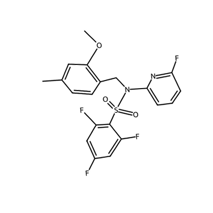 COc1cc(C)ccc1CN(c1cccc(F)n1)S(=O)(=O)c1c(F)cc(F)cc1F